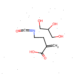 C=C(CCN=C=O)C(=O)O.OCC(O)CO